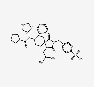 CC(C)CN1C(=O)N(Cc2ccc(S(C)(=O)=O)cc2)C(=O)C12CCN(C(C(=O)C1CCCC1)[C@@H]1CNC[C@@H]1c1ccccc1)CC2